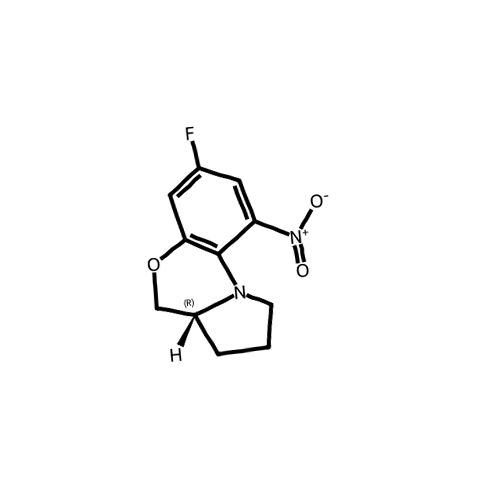 O=[N+]([O-])c1cc(F)cc2c1N1CCC[C@@H]1CO2